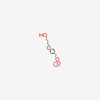 OCCCCCOc1ccc(CCOC2CCCCO2)cc1